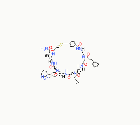 CC(C)C[C@H]1CN(CC(N)=O)C(=O)CCSCc2ccc(cc2)C(=O)N[C@@H](C)CN(C(=O)CCc2ccccc2)CC(=O)N[C@@H](CC(C)C)CN(C(=O)CC2CC2)CC(=O)N[C@@H](CCCCCN)CN(C(=O)CCC2CCCCC2)CC(=O)N1